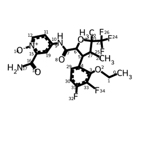 CCOc1c(C2C(C(=O)Nc3cc[n+]([O-])c(C(N)=O)c3)OC(C)(C(F)(F)F)C2C)ccc(F)c1F